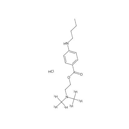 Cl.[2H]C([2H])([2H])N(CCOC(=O)c1ccc(NCCCC)cc1)C([2H])([2H])[2H]